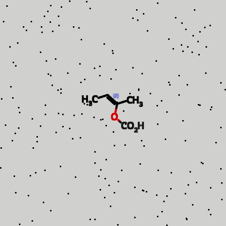 C/C=C(/C)OC(=O)O